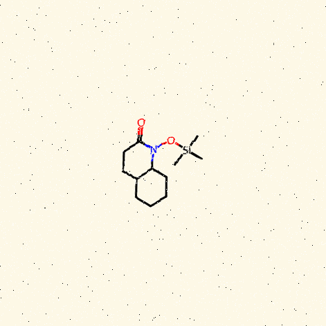 C[Si](C)(C)ON1C(=O)CCC2CCCCC21